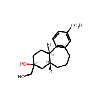 CC[C@]12CC[C@@](O)(CC#N)C[C@H]1CCCc1cc(C(=O)O)ccc12